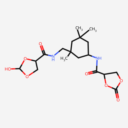 CC1(C)CC(NC(=O)C2COC(=O)O2)CC(C)(CNC(=O)C2COC(O)O2)C1